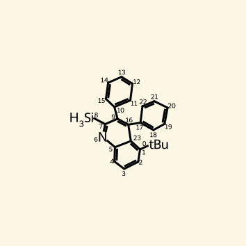 CC(C)(C)c1cccc2nc([SiH3])c(-c3ccccc3)c(-c3ccccc3)c12